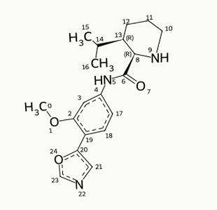 COc1cc(NC(=O)[C@@H]2NCCC[C@@H]2C(C)C)ccc1-c1cnco1